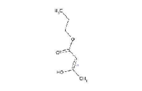 CCCOC(=O)/C=C(/C)O